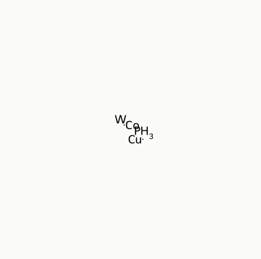 P.[Co].[Cu].[W]